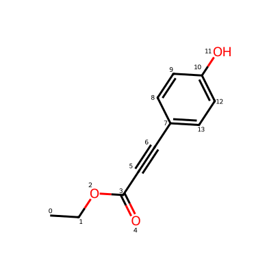 CCOC(=O)C#Cc1ccc(O)cc1